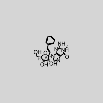 Nc1nc2c(ncn2[C@]2(C=Cc3ccccc3)O[C@H](CO)[C@@H](O)[C@H]2O)c(=O)[nH]1